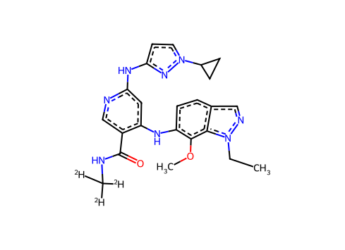 [2H]C([2H])([2H])NC(=O)c1cnc(Nc2ccn(C3CC3)n2)cc1Nc1ccc2cnn(CC)c2c1OC